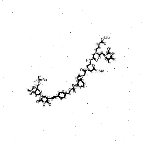 COC(=O)CN(CCNC(=O)CN(CCNC(=O)OC(C)(C)C)C(=O)Cn1cc(C)c(=O)[nH]c1=O)C(=O)Cn1cnc2c(NC(=O)OCc3ccc(C#Cc4cn([C@H]5CC([Si](C)(C)C(C)(C)C)[C@@H](CO[Si](C)(C)C(C)(C)C)O5)c(=O)[nH]c4=O)cc3)ncnc21